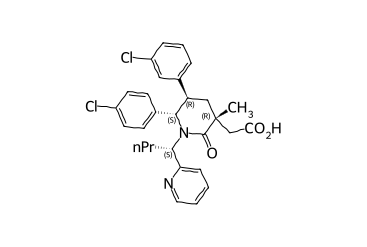 CCC[C@@H](c1ccccn1)N1C(=O)[C@@](C)(CC(=O)O)C[C@H](c2cccc(Cl)c2)[C@H]1c1ccc(Cl)cc1